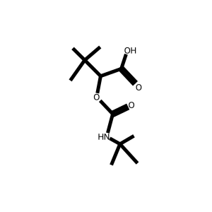 CC(C)(C)NC(=O)OC(C(=O)O)C(C)(C)C